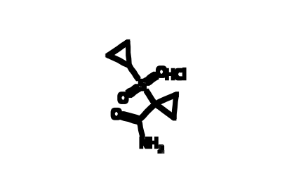 Cl.NC(=O)C1(S(=O)(=O)C2CC2)CC1